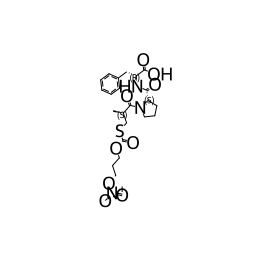 C[C@H](CSC(=O)OCCCO[N+](=O)[O-])C(=O)N1CCC[C@H]1C(=O)N[C@H](Cc1ccccc1)C(=O)O